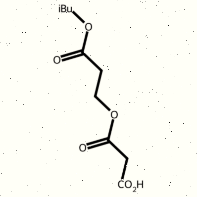 CCC(C)OC(=O)CCOC(=O)CC(=O)O